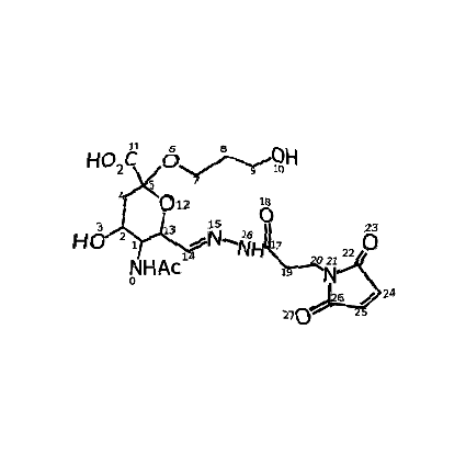 CC(=O)NC1C(O)CC(OCCCO)(C(=O)O)OC1/C=N/NC(=O)CCN1C(=O)C=CC1=O